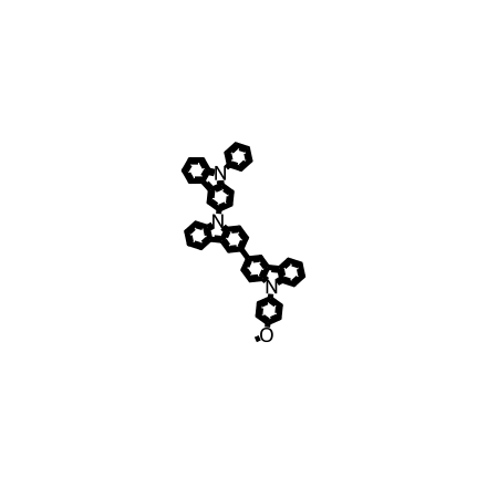 COc1ccc(-n2c3ccccc3c3cc(-c4ccc5c(c4)c4ccccc4n5-c4ccc5c(c4)c4ccccc4n5-c4ccccc4)ccc32)cc1